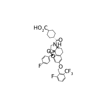 O=C(O)[C@H]1CC[C@H](C(=O)N2CC[C@@]3(S(=O)(=O)c4ccc(F)cc4)c4ccc(OCc5c(F)cccc5C(F)(F)F)cc4CC[C@@H]23)CC1